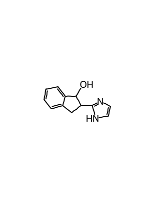 OC1c2ccccc2CC1c1ncc[nH]1